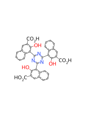 O=C(O)c1cc2ccccc2c(-c2nc(-c3c(O)c(C(=O)O)cc4ccccc34)nc(-c3c(O)c(C(=O)O)cc4ccccc34)n2)c1O